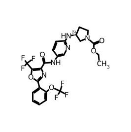 CCOC(=O)N1CC[C@H](Nc2ccc(NC(=O)c3nc(-c4ccccc4OC(F)(F)F)oc3C(F)(F)F)cn2)C1